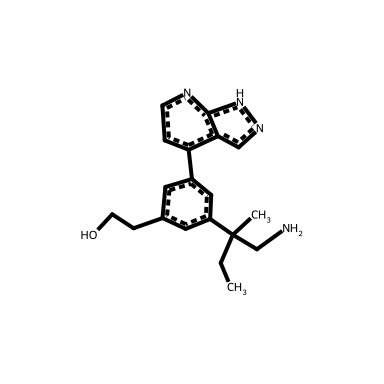 CCC(C)(CN)c1cc(CCO)cc(-c2ccnc3[nH]ncc23)c1